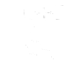 NCc1ccnc(OCC2CC(C(F)(F)F)CN2S(=O)(=O)N2CCOCC2)c1